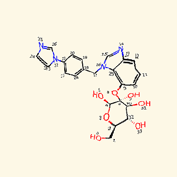 OC[C@H]1O[C@@H](O)[C@@](O)(Oc2cccc3ncn(Cc4ccc(-n5ccnc5)cc4)c23)[C@@H](O)[C@@H]1O